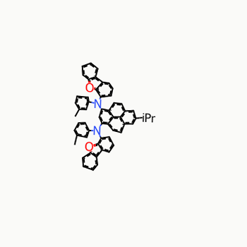 Cc1cccc(N(c2cc(N(c3cccc(C)c3)c3cccc4c3oc3ccccc34)c3ccc4cc(C(C)C)cc5ccc2c3c54)c2cccc3c2oc2ccccc23)c1